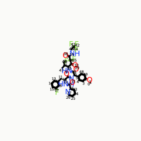 COc1ccc([C@H](NC(=O)[C@H](Cc2cccc(F)c2)NC(=O)c2ccccn2)C(=O)N[C@H](C(=O)C(F)(F)C(=O)NCC(F)(F)F)C(C)C)cc1